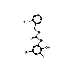 Cc1ccccc1CNC(=O)Nc1cc(Br)cc(F)c1O